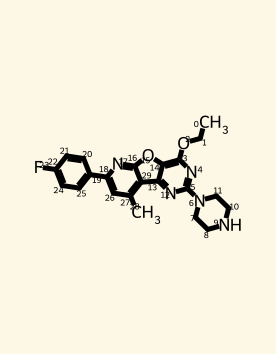 CCOc1nc(N2CCNCC2)nc2c1oc1nc(-c3ccc(F)cc3)cc(C)c12